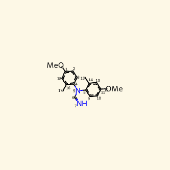 COc1ccc(N(C=N)c2ccc(OC)cc2C)c(C)c1